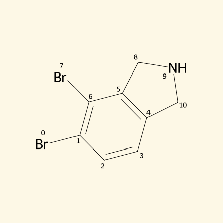 Brc1ccc2c(c1Br)CNC2